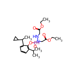 CCOC(=O)CNN(CC(=O)OCC)[PH](=O)Oc1c(C(C)C)cccc1C(C)C1CC1